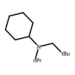 CCCN(CC(C)(C)C)C1CCCCC1